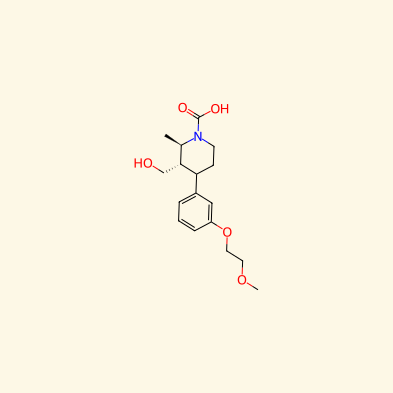 COCCOc1cccc(C2CCN(C(=O)O)[C@H](C)[C@H]2CO)c1